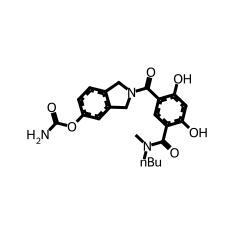 CCCCN(C)C(=O)c1cc(C(=O)N2Cc3ccc(OC(N)=O)cc3C2)c(O)cc1O